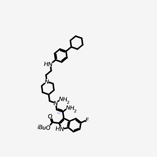 CC(C)COC(=O)c1[nH]c2ccc(F)cc2c1/C(N)=C/N(N)CC1CCN(CCNc2ccc(C3CCCCC3)cc2)CC1